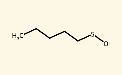 CCCCCS[O]